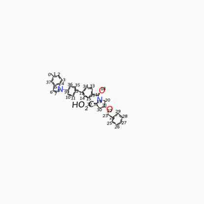 Cc1ccc2c(ccn2-c2ccc(-c3ccc(C(=O)N4CC(OCc5ccccc5)C[C@H]4C(=O)O)cc3)cc2)c1